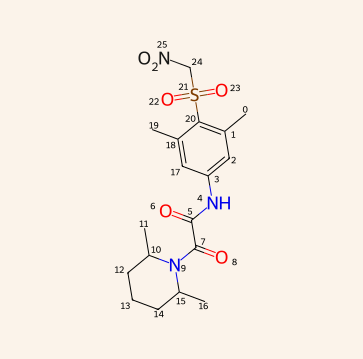 Cc1cc(NC(=O)C(=O)N2C(C)CCCC2C)cc(C)c1S(=O)(=O)C[N+](=O)[O-]